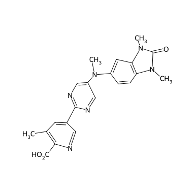 Cc1cc(-c2ncc(N(C)c3ccc4c(c3)n(C)c(=O)n4C)cn2)cnc1C(=O)O